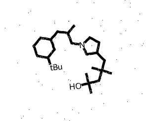 CC(CC1CCCC(C(C)(C)C)C1)CN1CCC(CC(C)(C)CC(C)(C)O)C1